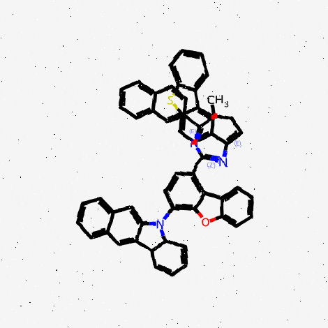 CC1C/C=C(c2ccc3sc4ccccc4c3c2)/N=C(c2ccc(N3c4cc5ccccc5cc4C4C=CC=CC43)c3oc4ccccc4c23)\N=C/1c1ccc2ccccc2c1